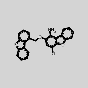 Nc1c(OCc2cccc3sc4ccccc4c23)cc(Cl)c2oc3ccccc3c12